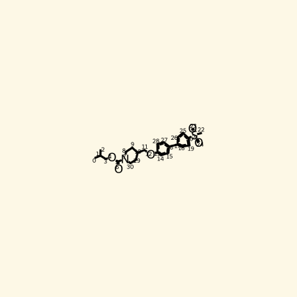 CC(C)COC(=O)N1CCC(COc2ccc(-c3ccc(S(C)(=O)=O)cc3)cc2)CC1